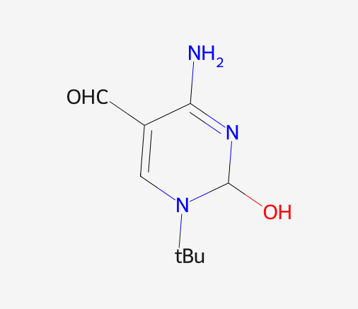 CC(C)(C)N1C=C(C=O)C(N)=NC1O